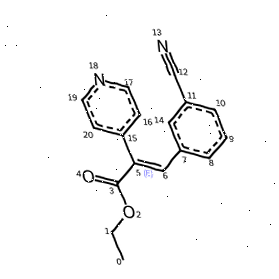 CCOC(=O)/C(=C/c1cccc(C#N)c1)c1ccncc1